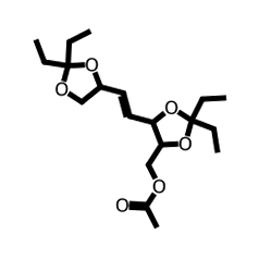 CCC1(CC)OCC(C=CC2OC(CC)(CC)OC2COC(C)=O)O1